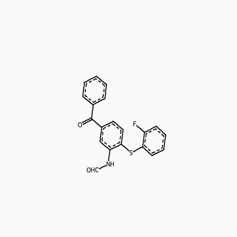 O=CNc1cc(C(=O)c2ccccc2)ccc1Sc1ccccc1F